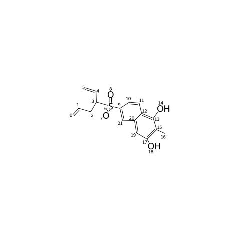 C=CCC(C=C)S(=O)(=O)c1ccc2c(O)c(C)c(O)cc2c1